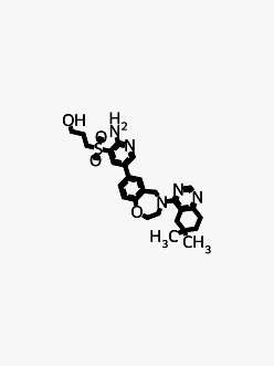 CC1(C)CCc2ncnc(N3CCOc4ccc(-c5cnc(N)c(S(=O)(=O)CCCO)c5)cc4C3)c2C1